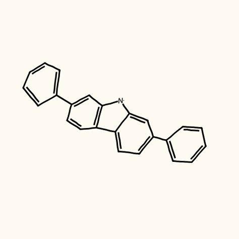 c1ccc(-c2ccc3c(c2)[N]c2cc(-c4ccccc4)ccc2-3)cc1